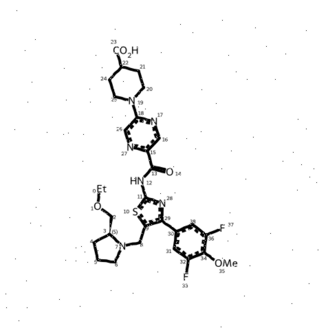 CCOC[C@@H]1CCCN1Cc1sc(NC(=O)c2cnc(N3CCC(C(=O)O)CC3)cn2)nc1-c1cc(F)c(OC)c(F)c1